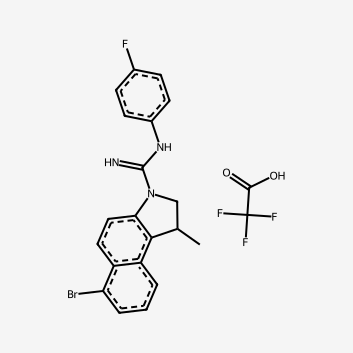 CC1CN(C(=N)Nc2ccc(F)cc2)c2ccc3c(Br)cccc3c21.O=C(O)C(F)(F)F